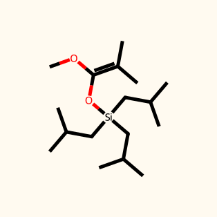 COC(O[Si](CC(C)C)(CC(C)C)CC(C)C)=C(C)C